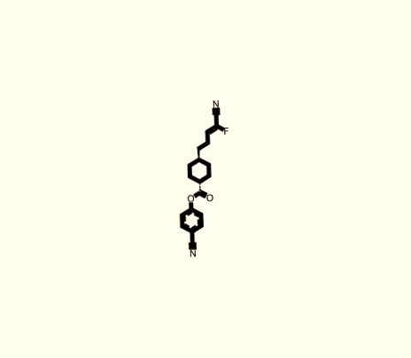 N#CC(F)=CCC[C@H]1CC[C@H](C(=O)Oc2ccc(C#N)cc2)CC1